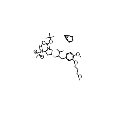 COCCCOc1cc(CC(C[C@@H]2CC(NS(C)(=O)=O)N(C(=O)OC(C)(C)C)C2)C(C)C)ccc1OC.c1cc2cc-2c1